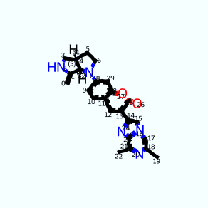 C=C1NC[C@@H]2CCN(c3ccc4cc(-c5cn6cc(C)nc(C)c6n5)c(=O)oc4c3)[C@H]12